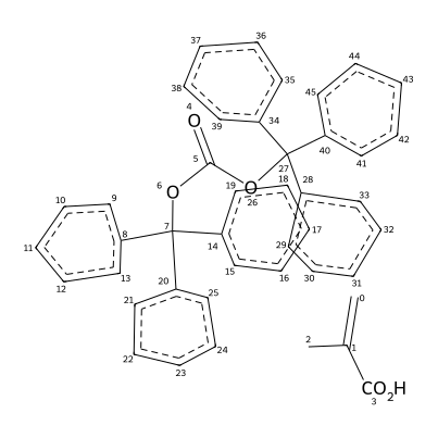 C=C(C)C(=O)O.O=C(OC(c1ccccc1)(c1ccccc1)c1ccccc1)OC(c1ccccc1)(c1ccccc1)c1ccccc1